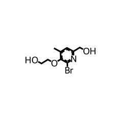 Cc1cc(CO)nc(Br)c1OCCO